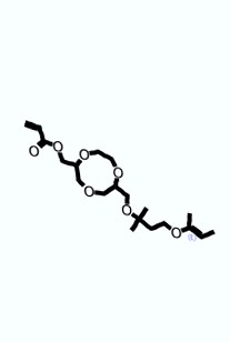 C=CC(=O)OCC1COCC(COC(C)(C)CCO/C(C)=C/C)OCCO1